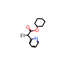 CCC(C(=O)OC1CCCCC1)c1ccccn1